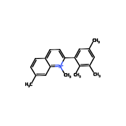 Cc1cc(C)c(C)c(-c2ccc3ccc(C)cc3[n+]2C)c1